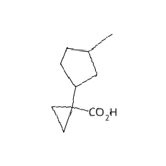 CC1CCC(C2(C(=O)O)CC2)C1